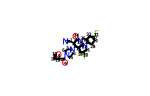 N#Cc1c(N2CCN(C(=O)c3ccco3)CC2)c2cc(F)cnc2n(Cc2cccc(F)c2)c1=O